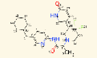 CC(C(=O)Nc1ccc(CC2CCCCC2)cn1)N1CCC(F)(F)C(c2ccc(=O)[nH]c2)C1